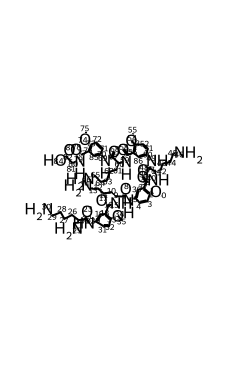 COc1ccc(NC(=O)[C@H](CCCCN)NC(=O)c2cc(NC(=O)[C@@H](N)CCCCN)ccc2OC)cc1C(=O)N[C@@H](CCCCN)C(=O)Nc1ccc(OC)c(C(=O)N[C@@H](CCCCCN)C(=O)Nc2ccc(OC)c(C(=O)N[C@H](C)C(=O)O)c2)c1